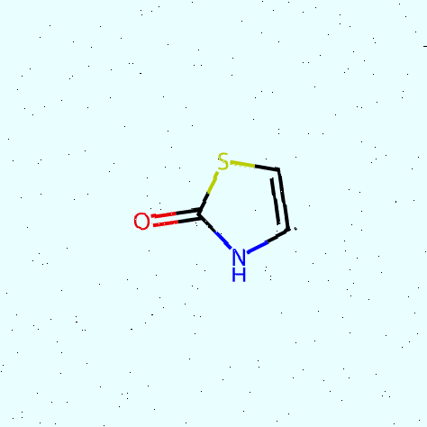 O=c1[nH][c]cs1